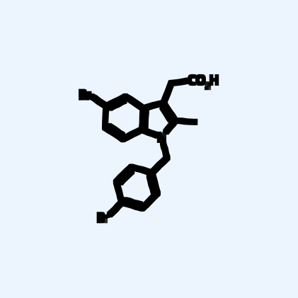 Cc1c(CC(=O)O)c2cc(Br)ccc2n1Cc1ccc(Br)cc1